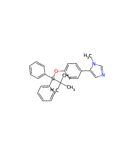 Cn1cncc1-c1ccc(O[Si](c2ccccc2)(c2ccccc2)C(C)(C)C)cc1